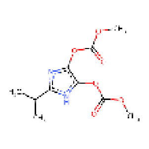 COC(=O)Oc1nc(C(C)C)[nH]c1OC(=O)OC